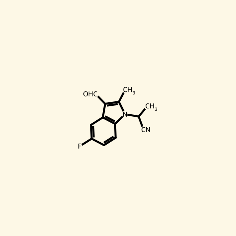 Cc1c(C=O)c2cc(F)ccc2n1C(C)C#N